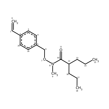 C=Cc1ccc(CON(C)C(=O)C(CCC)CCC)cc1